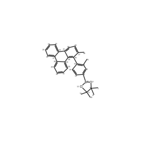 Cc1cc(B2OC(C)(C)C(C)(C)O2)ccc1-c1c(C)ccc2c3ccccc3c3ccccc3c12